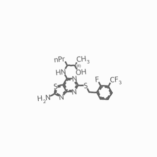 CCCC(Nc1nc(SCc2cccc(C(F)(F)F)c2F)nc2nc(N)sc12)[C@@H](C)O